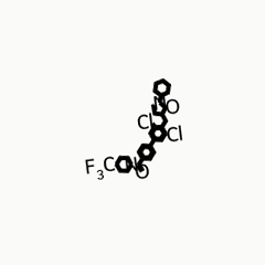 O=C(c1ccc(-c2cc(Cl)c(CC3CCN(C4CCCCC4)C3=O)c(Cl)c2)cc1)N1CCC(C(F)(F)F)CC1